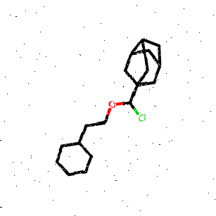 ClC(OCCC1CCCCC1)C12CC3CC(C1)C(C3)C2